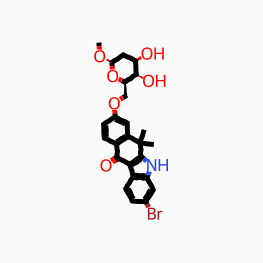 CO[C@@H]1C[C@@H](O)[C@H](O)[C@@H](COc2ccc3c(c2)C(C)(C)c2[nH]c4cc(Br)ccc4c2C3=O)O1